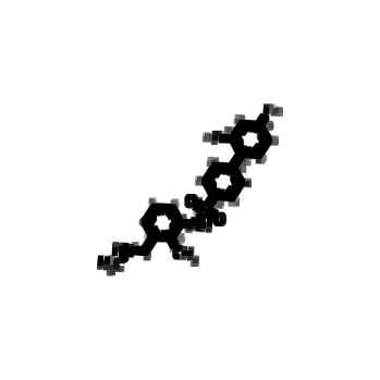 CNCc1cccc(NS(=O)(=O)c2ccc(-c3ccc(F)cc3F)cc2)c1C